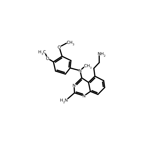 COc1ccc(N(C)c2nc(N)nc3cccc(CCN)c23)cc1OC